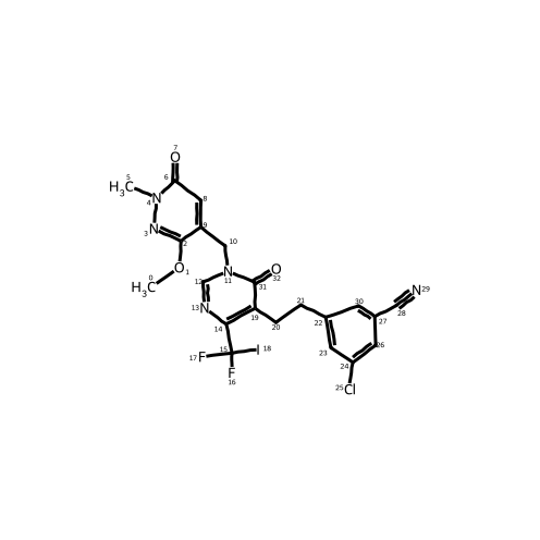 COc1nn(C)c(=O)cc1Cn1cnc(C(F)(F)I)c(CCc2cc(Cl)cc(C#N)c2)c1=O